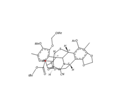 COCOc1c(OC)c(C)cc2c1[C@H]1C3[C@@H]4SCC(NC(=O)OC(C)(C)C)C(=O)OC[C@@H](c5c6c(c(C)c(OC(C)=O)c54)OCO6)N3C(C#N)[C@@H](C2)N1C